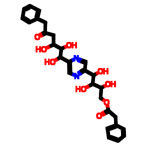 O=C(Cc1ccccc1)CC(O)C(O)C(O)c1cnc(C(O)C(O)C(O)COC(=O)Cc2ccccc2)cn1